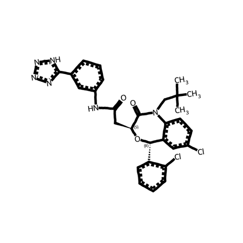 CC(C)(C)CN1C(=O)[C@H](CC(=O)Nc2cccc(-c3nnn[nH]3)c2)O[C@@H](c2ccccc2Cl)c2cc(Cl)ccc21